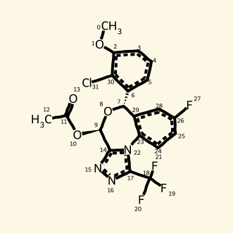 COc1cccc([C@H]2O[C@H](OC(C)=O)c3nnc(C(F)(F)F)n3-c3ccc(F)cc32)c1Cl